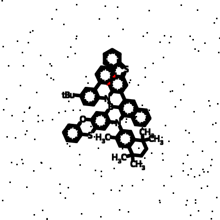 Cc1cc2c(cc1N1c3cc4c(cc3B3c5c(cc6ccccc6c51)-c1cc5sc6ccccc6c5cc1N3c1ccc(C(C)(C)C)cc1-c1ccccc1)Oc1ccccc1S4)C(C)(C)CCC2(C)C